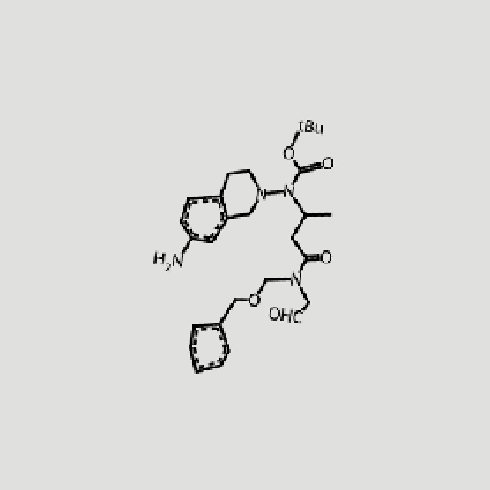 CC(CC(=O)N(CC=O)COCc1ccccc1)N(C(=O)OC(C)(C)C)N1CCc2ccc(N)cc2C1